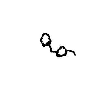 CCc1ccc(Cc2ccccc2)cc1